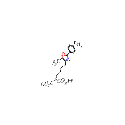 Cc1ccc(-c2nc(CCCCC(C(=O)O)C(=O)O)c(C(F)(F)F)o2)cc1